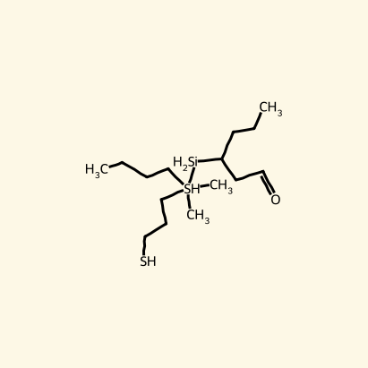 CCCC[SH](C)(C)(CCCS)[SiH2]C(CC=O)CCC